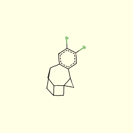 Brc1cc2c(cc1Br)C1CC13CC1CC2CC13